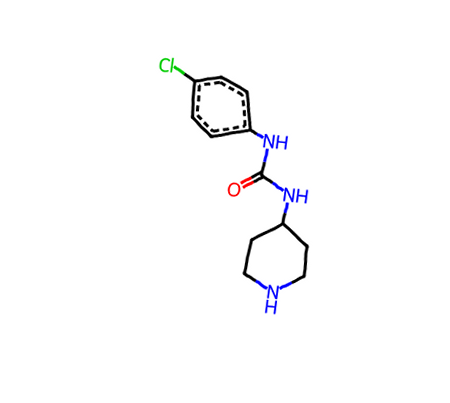 O=C(Nc1ccc(Cl)cc1)NC1CCNCC1